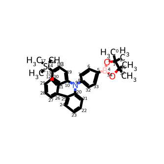 CC1(C)OB(c2ccc(N(c3ccc([Si](C)(C)C)cc3)c3ccccc3-c3ccccc3)cc2)OC1(C)C